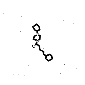 O=C(CCCCC1CCCCC1)N1CCN(C2CCCCC2)CC1